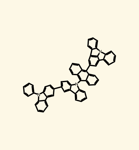 c1ccc(-n2c3ccccc3c3cc(-c4ccc5c(c4)c4ccccc4n5-c4c5ccccc5c(-c5cc6c7ccccc7n7c8ccccc8c(c5)c67)c5ccccc45)ccc32)cc1